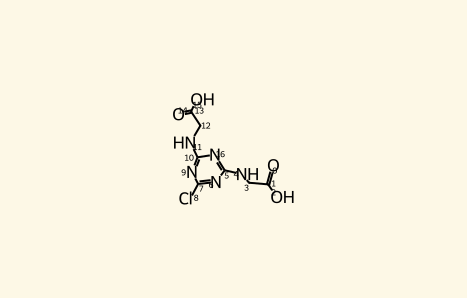 O=C(O)CNc1nc(Cl)nc(NCC(=O)O)n1